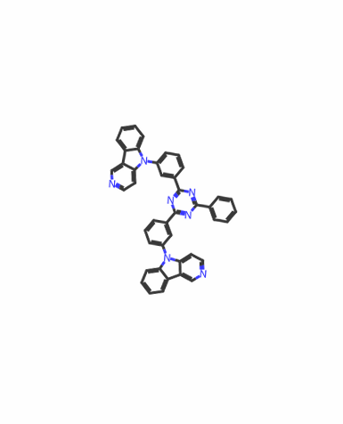 c1ccc(-c2nc(-c3cccc(-n4c5ccccc5c5cnccc54)c3)nc(-c3cccc(-n4c5ccccc5c5cnccc54)c3)n2)cc1